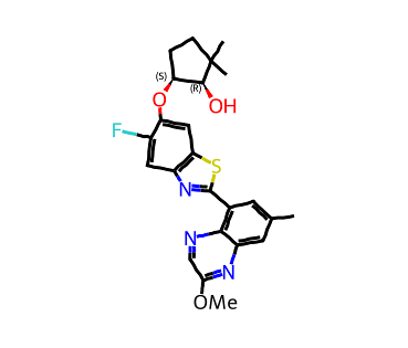 COc1cnc2c(-c3nc4cc(F)c(O[C@H]5CCC(C)(C)[C@H]5O)cc4s3)cc(C)cc2n1